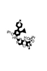 CC(C)Oc1cc(C2CCN(C)CC2)c(C2CC2)cc1Nc1ncc(Cl)c(Nc2cn(C)nc2S(=O)(=O)C(C)C)n1